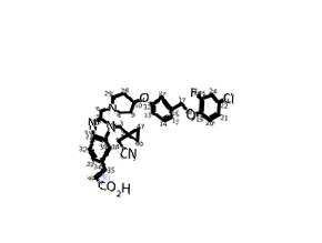 N#CCC1(Cn2c(CN3CCC(Oc4cccc(COc5ccc(Cl)cc5F)c4)CC3)nc3ccc(/C=C/C(=O)O)cc32)CC1